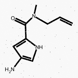 C=CCN(C)C(=O)c1cc(N)c[nH]1